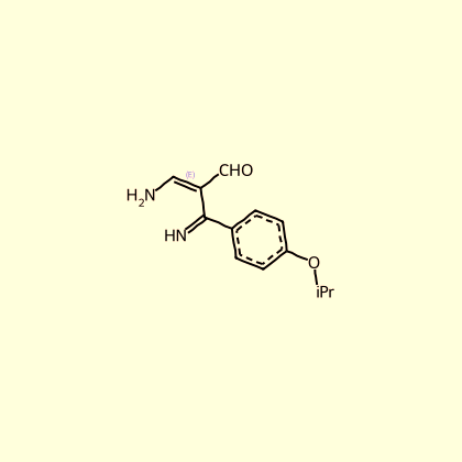 CC(C)Oc1ccc(C(=N)/C(C=O)=C\N)cc1